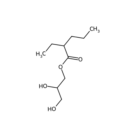 CCCC(CC)C(=O)OCC(O)CO